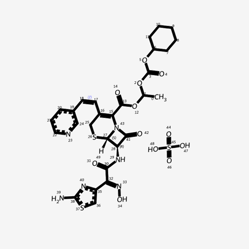 CC(OC(=O)OC1CCCCC1)OC(=O)C1=C(/C=C\c2cccnc2)CS[C@H]2[C@H](NC(=O)C(=NO)c3csc(N)n3)C(=O)N12.O=S(=O)(O)O